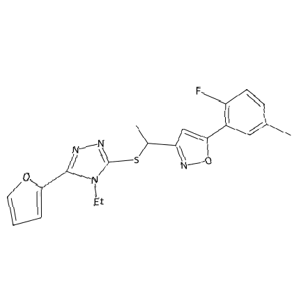 CCn1c(SC(C)c2cc(-c3cc(C)ccc3F)on2)nnc1-c1ccco1